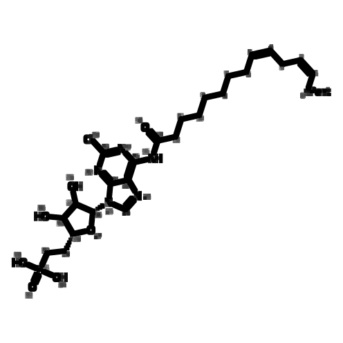 CCCCC/C=C\C/C=C\CCCCCCCC(=O)Nc1nc(Cl)nc2c1ncn2[C@@H]1O[C@H](CCP(=O)(O)O)C(O)C1O